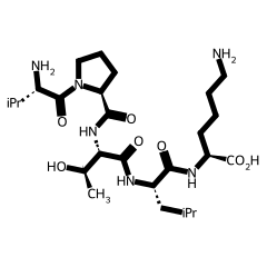 CC(C)C[C@H](NC(=O)[C@@H](NC(=O)[C@@H]1CCCN1C(=O)[C@@H](N)C(C)C)[C@@H](C)O)C(=O)N[C@@H](CCCCN)C(=O)O